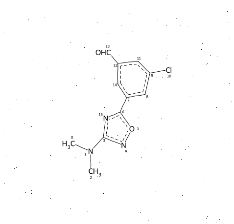 CN(C)c1noc(-c2cc(Cl)cc(C=O)c2)n1